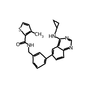 Cc1ccsc1C(=O)NCc1cccc(-c2ccc3ncnc(NC4CC4)c3c2)c1